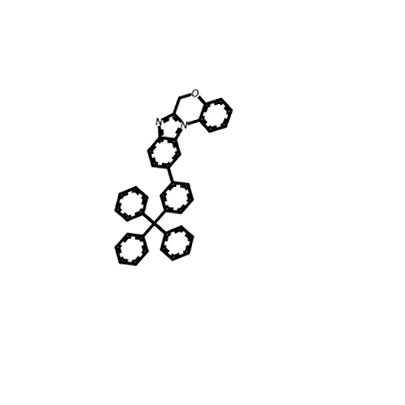 c1ccc(C(c2ccccc2)(c2ccccc2)c2cccc(-c3ccc4nc5n(c4c3)-c3ccccc3OC5)c2)cc1